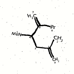 C=C(C)CC(NC)C(=C)C(C)C